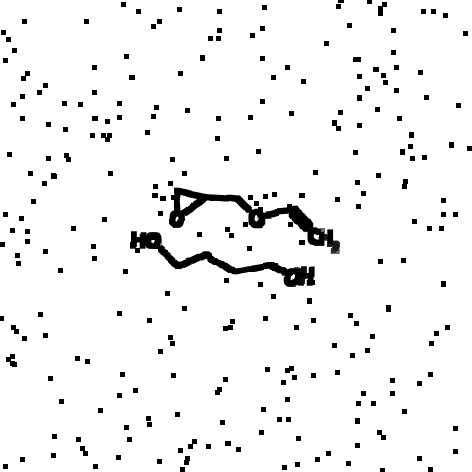 C=COCC1CO1.OCCCCO